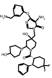 NCc1cccc(Oc2ncn(CC3(O)CCN(C(=O)[C@@H]4CCC(F)(F)C[C@H]4c4ccccc4)C(N4CCC(O)CC4)C3)c(=O)c2N)c1